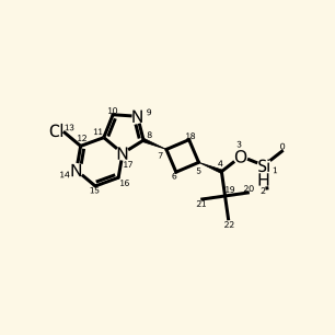 C[SiH](C)OC([C@H]1C[C@@H](c2ncc3c(Cl)nccn32)C1)C(C)(C)C